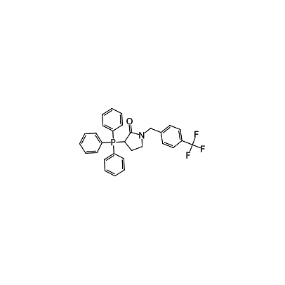 O=C1C([P](c2ccccc2)(c2ccccc2)c2ccccc2)CCN1Cc1ccc(C(F)(F)F)cc1